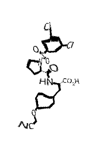 N#CCOc1ccc(C[C@H](NC(=O)[C@@H]2CCCN2S(=O)(=O)c2cc(Cl)cc(Cl)c2)C(=O)O)cc1